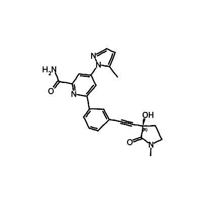 Cc1ccnn1-c1cc(C(N)=O)nc(-c2cccc(C#C[C@]3(O)CCN(C)C3=O)c2)c1